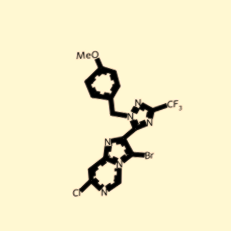 COc1ccc(Cn2nc(C(F)(F)F)nc2-c2nc3cc(Cl)ncn3c2Br)cc1